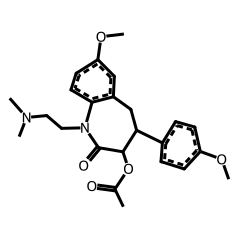 COc1ccc(C2Cc3cc(OC)ccc3N(CCN(C)C)C(=O)C2OC(C)=O)cc1